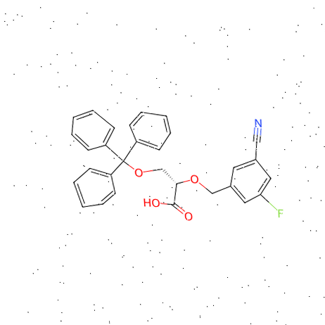 N#Cc1cc(F)cc(CO[C@@H](COC(c2ccccc2)(c2ccccc2)c2ccccc2)C(=O)O)c1